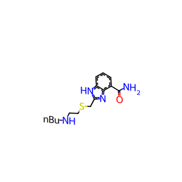 CCCCNCCSCc1nc2c(C(N)=O)cccc2[nH]1